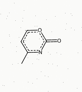 Cc1c[c]oc(=O)n1